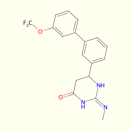 C/N=C1\NC(=O)CC(c2cccc(-c3cccc(OC(F)(F)F)c3)c2)N1